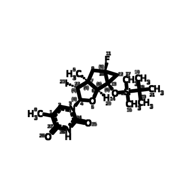 Cc1cn([C@@H]2O[C@H]3[C@](C)(C[C@]4(F)C[C@]34O[Si](C)(C)C(C)(C)C)[C@H]2I)c(=O)[nH]c1=O